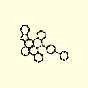 c1ccc(-c2ccc(N(c3ccccc3-c3cc4ccccc4c4oc5ccccc5c34)c3cccc4ccccc34)cc2)cc1